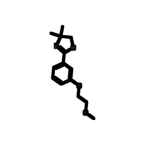 COCCOc1cccc(C2=NC(C)(C)CO2)c1